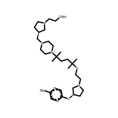 COCCN1CC[C@H](CN2CCN(C(C)(C)CCC(C)(C)OCCN3CC[C@@H](Oc4cnc(C(C)(C)C)cn4)C3)CC2)C1